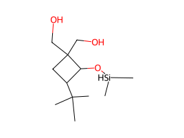 C[SiH](C)OC1C(C(C)(C)C)CC1(CO)CO